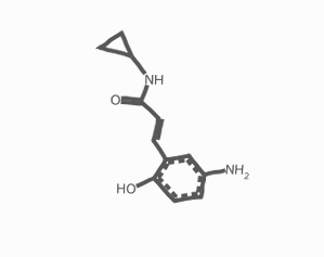 Nc1ccc(O)c(/C=C/C(=O)NC2CC2)c1